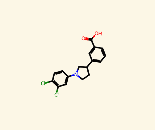 O=C(O)c1cccc(C2CCN(c3ccc(Cl)c(Cl)c3)C2)c1